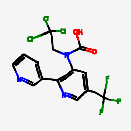 O=C(O)N(CC(Cl)(Cl)Cl)c1cc(C(F)(F)F)cnc1-c1cccnc1